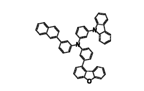 c1cc(-c2ccc3ccccc3c2)cc(N(c2cccc(-c3cccc4oc5ccccc5c34)c2)c2cccc(-n3c4ccccc4c4ccccc43)c2)c1